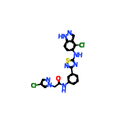 O=C(Cn1cc(Cl)cn1)Nc1cccc(-c2nsc(Nc3ccc4[nH]ncc4c3Cl)n2)c1